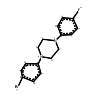 Fc1ccc(N2CCN(c3ccc(Br)cc3)CC2)cc1